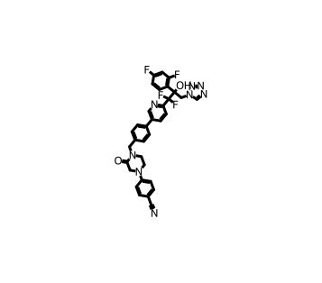 N#Cc1ccc(N2CCN(Cc3ccc(-c4ccc(C(F)(F)C(O)(Cn5cnnn5)c5ccc(F)cc5F)nc4)cc3)C(=O)C2)cc1